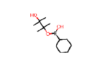 CC(C)(O)C(C)(C)OB(O)C1CCCCC1